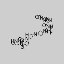 CN(C[C@H]1CC[C@H](n2cc(NC(=O)c3cnn4ccc(N5CCOCC5)nc34)c(C(F)F)n2)CC1)[C@H]1CC[C@H](Nc2cccc3c2C(=O)N(C2CCC(=O)NC2=O)C3=O)CC1